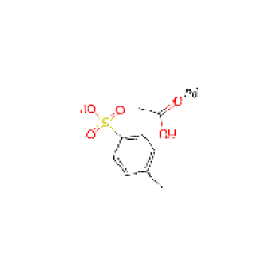 CC(=O)O.Cc1ccc(S(=O)(=O)O)cc1.[Pd]